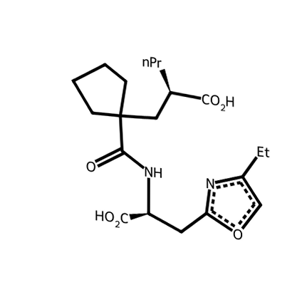 CCC[C@H](CC1(C(=O)N[C@@H](Cc2nc(CC)co2)C(=O)O)CCCC1)C(=O)O